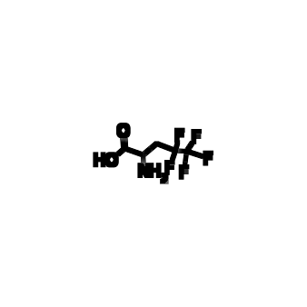 NC(CC(F)(F)C(F)(F)F)C(=O)O